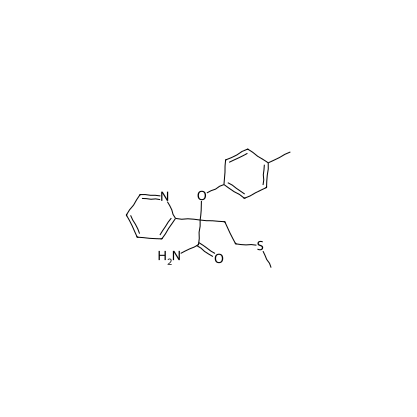 CSCCC(Oc1ccc(C)cc1)(C(N)=O)c1ccccn1